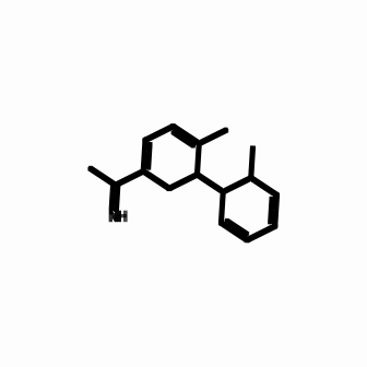 CC(=N)C1=CC=C(C)C(C2C=CC=CC2C)C1